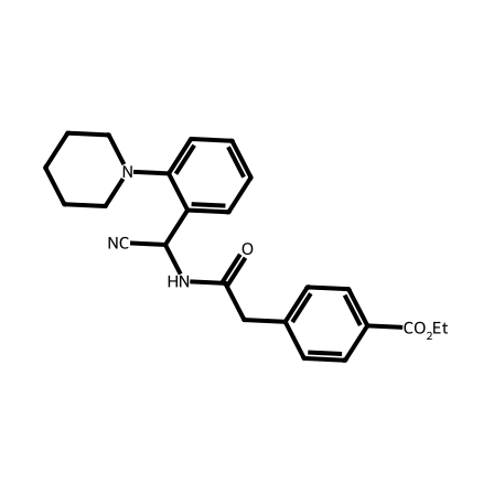 CCOC(=O)c1ccc(CC(=O)NC(C#N)c2ccccc2N2CCCCC2)cc1